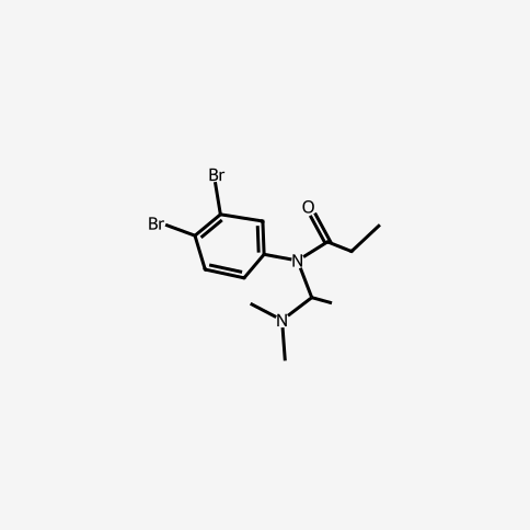 CCC(=O)N(c1ccc(Br)c(Br)c1)C(C)N(C)C